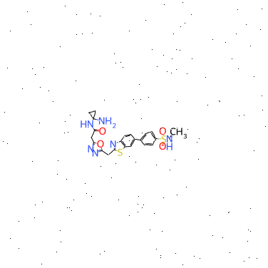 CNS(=O)(=O)c1ccc(-c2ccc3nc(Cc4nnc(CC(=O)NC5(N)CC5)o4)sc3c2)cc1